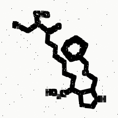 CC(C)CN(C=O)C(=O)CCCCCCC(C(=O)O)C1CCNC1COCc1ccccc1